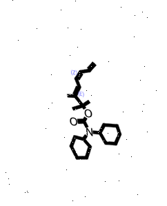 C=C/C=C\C=C(/C)C(C)(C)OC(=O)N(C1CCCCC1)C1CCCCC1